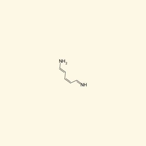 N=C/C=C\C=C\N